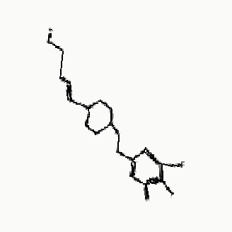 FCCC/C=C/C1CCC(CCc2cc(F)c(F)c(F)c2)CC1